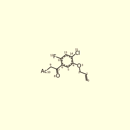 C=CCOc1cc(C(=O)CC(C)=O)c(F)cc1Cl